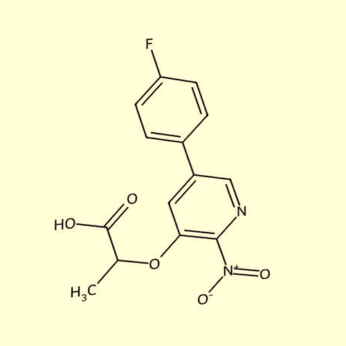 CC(Oc1cc(-c2ccc(F)cc2)cnc1[N+](=O)[O-])C(=O)O